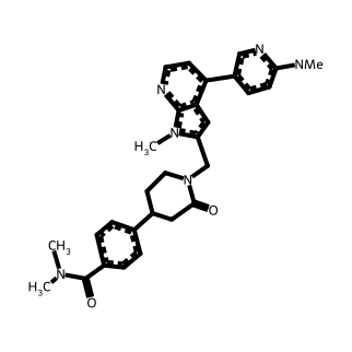 CNc1ccc(-c2ccnc3c2cc(CN2CCC(c4ccc(C(=O)N(C)C)cc4)CC2=O)n3C)cn1